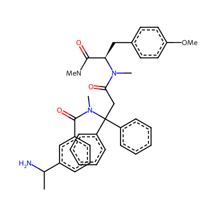 CNC(=O)[C@@H](Cc1ccc(OC)cc1)N(C)C(=O)CC(c1ccccc1)(c1ccccc1)N(C)C(=O)c1cccc(C(C)N)c1